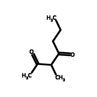 CCCC(=O)C(C)C(C)=O